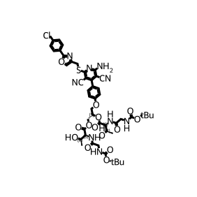 C[C@@H](O)[C@H](NC(=O)CNC(=O)OC(C)(C)C)C(=O)OC[C@H](COc1ccc(-c2c(C#N)c(N)nc(SCc3coc(-c4ccc(Cl)cc4)n3)c2C#N)cc1)OC(=O)[C@@H](NC(=O)CNC(=O)OC(C)(C)C)[C@@H](C)O